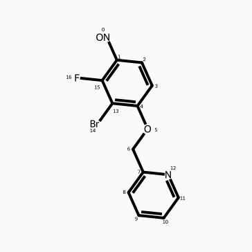 O=Nc1ccc(OCc2ccccn2)c(Br)c1F